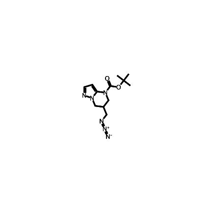 CC(C)(C)OC(=O)N1CC(CN=[N+]=[N-])Cn2nccc21